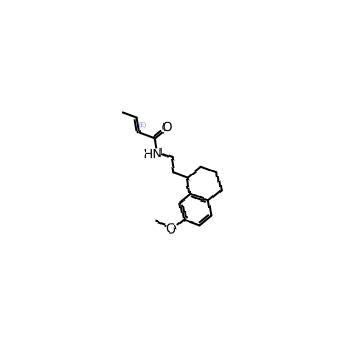 C/C=C/C(=O)NCCC1CCCc2ccc(OC)cc21